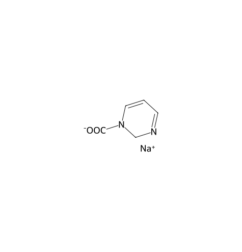 O=C([O-])N1C=CC=NC1.[Na+]